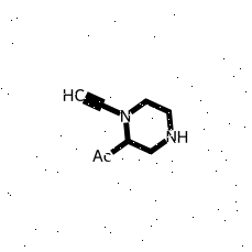 C#CN1CCNCC1C(C)=O